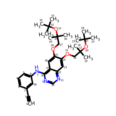 C#Cc1cccc(Nc2ncnc3cc(OCC(C)(C)OC(C)(C)C)c(OCC(C)(C)OC(C)(C)C)cc23)c1